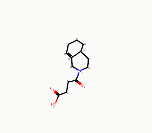 O=C(O)CCC(=O)N1CCC2CCCC=C2C1